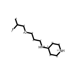 CC(F)COCCCNC1CCNCC1